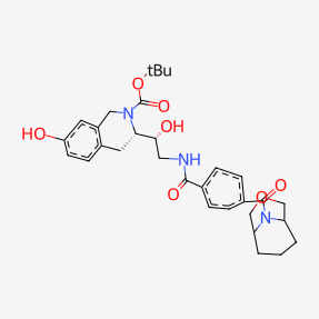 CC(C)(C)OC(=O)N1Cc2cc(O)ccc2C[C@H]1[C@H](O)CNC(=O)c1ccc(C(=O)N2C3CCCC2COC3)cc1